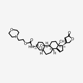 C[C@]12CC[C@H](NC(=O)OCCN3CCOCC3)C[C@H]1CC[C@H]1C3=CC[C@H](C4=CC(=O)OC4)[C@@]3(C)CC[C@@H]12